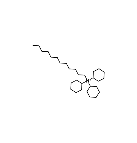 CCCCCCCCCCCC[N+](C1CCCCC1)(C1CCCCC1)C1CCCCC1